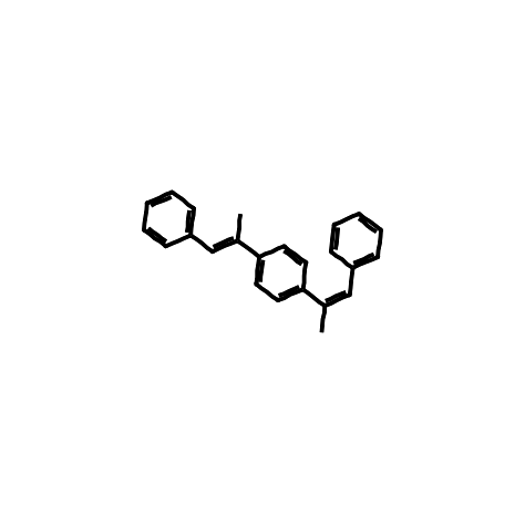 CC(=Cc1ccccc1)c1ccc(C(C)=Cc2ccccc2)cc1